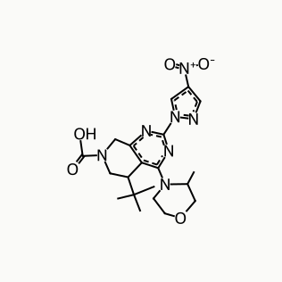 CC1COCCN1c1nc(-n2cc([N+](=O)[O-])cn2)nc2c1C(C(C)(C)C)CN(C(=O)O)C2